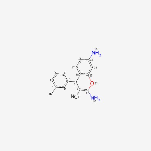 Cc1cccc(C2C(C#N)=C(N)Oc3cc(N)ccc32)c1